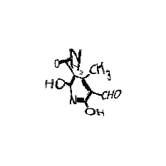 Cc1c(C=O)c(O)nc(O)c1C(N)=O